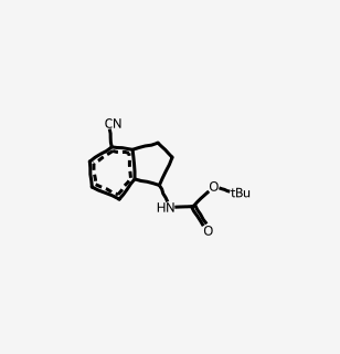 CC(C)(C)OC(=O)NC1CCc2c(C#N)cccc21